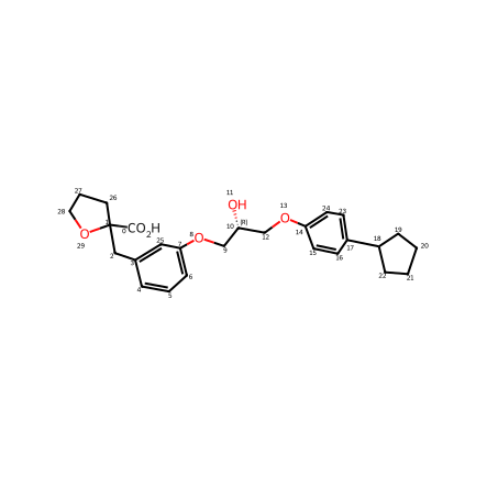 O=C(O)C1(Cc2cccc(OC[C@H](O)COc3ccc(C4CCCC4)cc3)c2)CCCO1